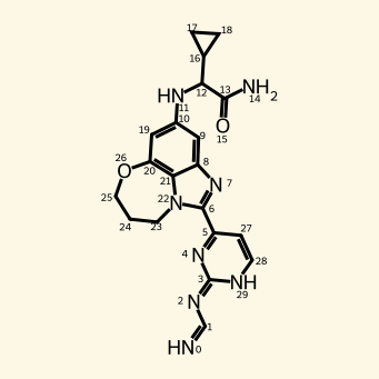 N=C/N=c1/nc(-c2nc3cc(NC(C(N)=O)C4CC4)cc4c3n2CCCO4)cc[nH]1